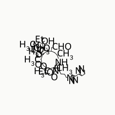 CCO[C@@H](O[C@H]1[C@@H](CC=O)C[C@@H](C)CN[C@H](C)[C@H]2N(CCCCn3cc(-c4cccnn4)nn3)C(=O)O[C@]2(C)[C@@H](CC)OC(=O)[C@H](C)C(=O)[C@@H]1C)C(O)C(CC)N(C)C